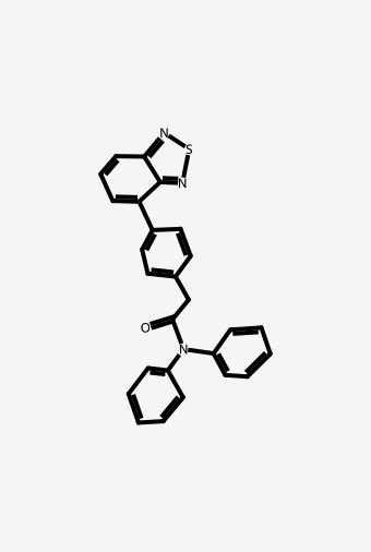 O=C(Cc1ccc(-c2cccc3nsnc23)cc1)N(c1ccccc1)c1ccccc1